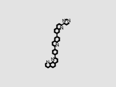 c1cnc2c(c1)ccc1ccc(-c3ccc(-c4ccc5cc(-c6ccc7ccc(-c8ccncn8)nc7c6)ccc5n4)cc3)nc12